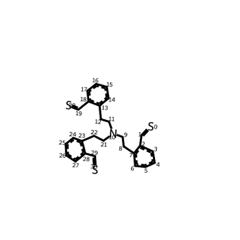 S=Cc1ccccc1CCN(CCc1ccccc1C=S)CCc1ccccc1C=S